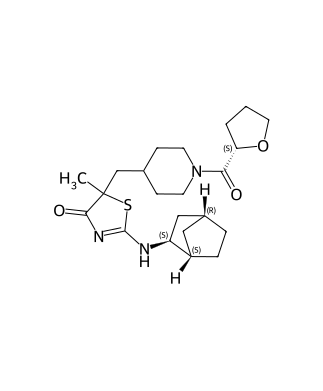 CC1(CC2CCN(C(=O)[C@@H]3CCCO3)CC2)SC(N[C@H]2C[C@@H]3CC[C@H]2C3)=NC1=O